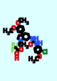 COc1ccc(NC(=O)NC2CCC3(c4ccc(OC)c(OC)c4)CCN(C)C3C2)cc1Cl.O=C(O)C(F)(F)F